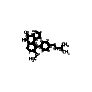 COc1ccc2[nH]c(=O)c3sccc3c2c1-c1ccc(CNC(C)C)cc1